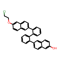 Oc1ccc2cc(-c3ccccc3-c3ccccc3-c3ccc4cc(OCCCl)ccc4c3)ccc2c1